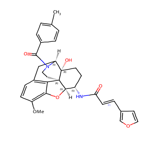 COc1ccc2c3c1O[C@@H]1[C@@H](NC(=O)/C=C/c4ccoc4)CC[C@]4(O)[C@H](C2)N(C(=O)c2ccc(C)cc2)CC[C@@]314